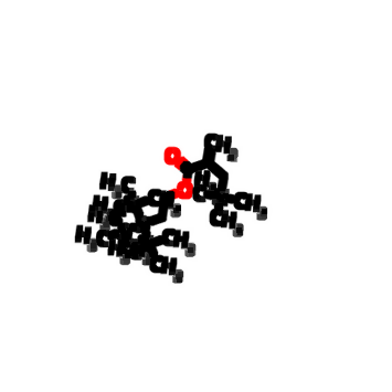 C=C(C[Si](C)(C)C)C(=O)OCC[Si]([Si](C)(C)C)([Si](C)(C)C)[Si](C)(C)C